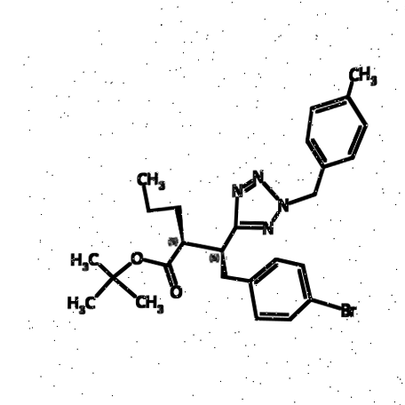 CCC[C@H](C(=O)OC(C)(C)C)[C@H](Cc1ccc(Br)cc1)c1nnn(Cc2ccc(C)cc2)n1